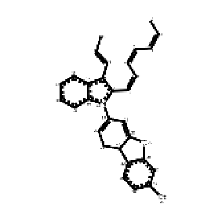 C\C=C/C=C\C=C/c1c(/C=C/C)c2ccccc2n1C1=CCC2C(=C1)Oc1cc(CC)ccc12